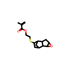 C=C(C)C(=O)OCCSC1CC2CC1C1CC3OC3C21